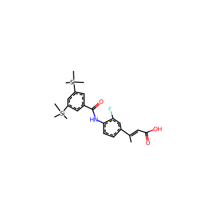 CC(=CC(=O)O)c1ccc(NC(=O)c2cc([Si](C)(C)C)cc([Si](C)(C)C)c2)c(F)c1